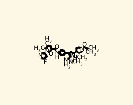 C=Nn1c(C2CCN(C(=O)C(C)C)CC2)cc(-c2ccc(NC(=O)c3cc(C)c(C)n(-c4cncc(F)c4)c3=O)cc2)c1/C(N)=N\C